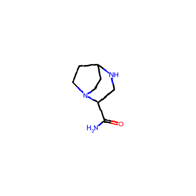 NC(=O)C1CNC2CCN1CC2